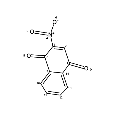 O=C1C=C([N+](=O)[O-])C(=O)c2ccccc21